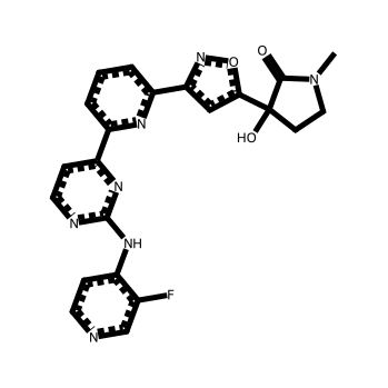 CN1CCC(O)(c2cc(-c3cccc(-c4ccnc(Nc5ccncc5F)n4)n3)no2)C1=O